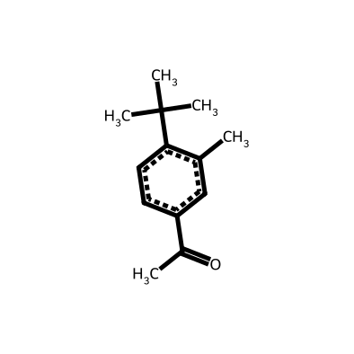 CC(=O)c1ccc(C(C)(C)C)c(C)c1